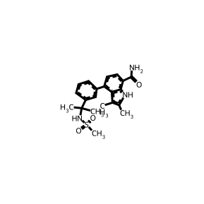 Cc1[nH]c2c(C(N)=O)ccc(-c3cccc(C(C)(C)NS(C)(=O)=O)c3)c2c1C